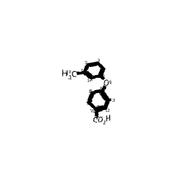 Cc1cccc(Oc2ccc(C(=O)O)cc2)c1